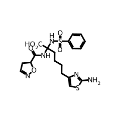 Nc1nc(CCCCC(NC(=O)C2CC=NO2)(NS(=O)(=O)c2ccccc2)C(=O)O)cs1